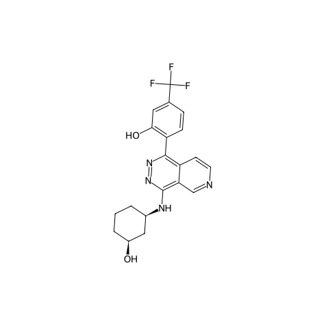 Oc1cc(C(F)(F)F)ccc1-c1nnc(N[C@@H]2CCC[C@H](O)C2)c2cnccc12